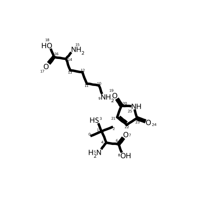 CC(C)(S)C(N)C(=O)O.NCCCCC(N)C(=O)O.O=C1C=CC(=O)N1